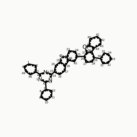 c1ccc(-c2nc(-c3ccccc3)nc(-c3ccc4c(c3)sc3ccc(-c5ccc(-c6ccccc6)c6c5oc5ccccc56)cc34)n2)cc1